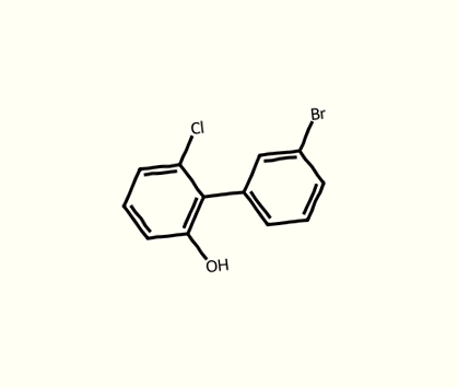 Oc1cccc(Cl)c1-c1cccc(Br)c1